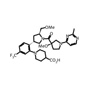 COC[C@@H]1C[C@@H](c2ccc(C(F)(F)F)cc2N2CCC(C(=O)O)CC2)CN1C(=O)[C@@]1(OC)CCN(c2ccnc(C)n2)C1